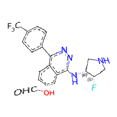 F[C@H]1CNC[C@H]1Nc1nnc(-c2ccc(C(F)(F)F)cc2)c2ccccc12.O=CO